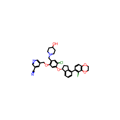 N#Cc1cncc(COc2cc(O[C@H]3CCc4c(-c5ccc6c(c5F)OCCO6)cccc43)c(Cl)cc2CN2CCC(O)CC2)c1